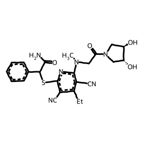 CCc1c(C#N)c(SC(C(N)=O)c2ccccc2)nc(N(C)CC(=O)N2C[C@@H](O)[C@H](O)C2)c1C#N